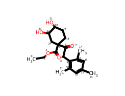 CCOC(=O)C1(C(=O)Cc2c(C)cc(C)cc2C)CCC(O)C(O)C1